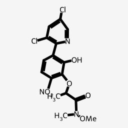 CON(C)C(=O)C(C)Oc1c([N+](=O)[O-])ccc(-c2ncc(Cl)cc2Cl)c1O